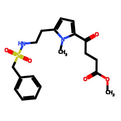 COC(=O)CCC(=O)c1ccc(CCNS(=O)(=O)Cc2ccccc2)n1C